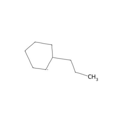 CCCC1[CH]CCCC1